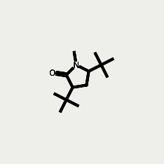 CN1C(=O)C(C(C)(C)C)CC1C(C)(C)C